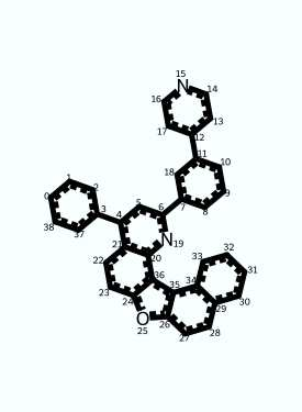 c1ccc(-c2cc(-c3cccc(-c4ccncc4)c3)nc3c2ccc2oc4ccc5ccccc5c4c23)cc1